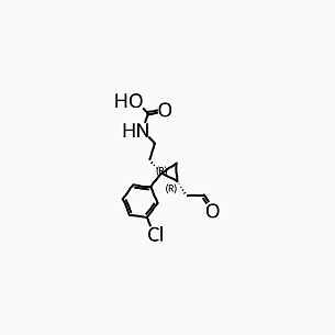 O=CC[C@H]1C[C@]1(CCNC(=O)O)c1cccc(Cl)c1